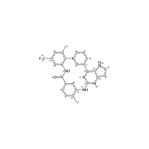 Cc1cc(NC(=O)c2ccc(C)c(Nc3nc(-c4cccnc4)c4[nH]ccc4n3)c2)cc(C(F)(F)F)c1